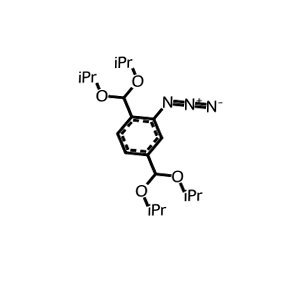 CC(C)OC(OC(C)C)c1ccc(C(OC(C)C)OC(C)C)c(N=[N+]=[N-])c1